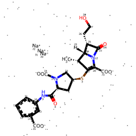 C[C@H]1C(S[C@H]2C[C@@H](C(=O)Nc3cccc(C(=O)[O-])c3)N(C(=O)[O-])C2)=C(C(=O)[O-])N2C(=O)[C@@H](CCO)[C@@H]12.[Na+].[Na+].[Na+]